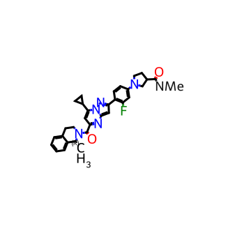 CNC(=O)C1CCN(c2ccc(-c3cc4nc(C(=O)N5CCc6ccccc6[C@H]5C)cc(C5CC5)n4n3)c(F)c2)C1